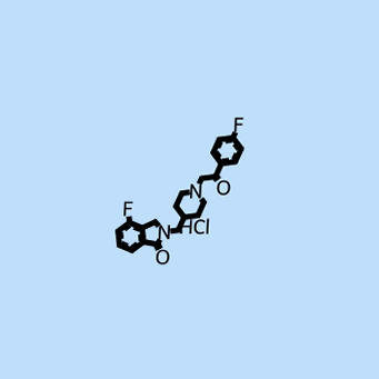 Cl.O=C(CN1CCC(CN2Cc3c(F)cccc3C2=O)CC1)c1ccc(F)cc1